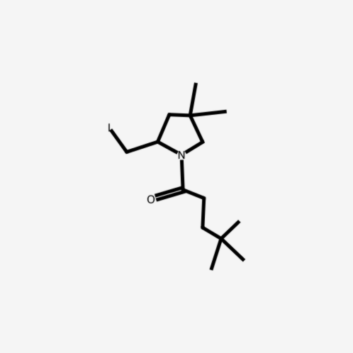 CC(C)(C)CCC(=O)N1CC(C)(C)CC1CI